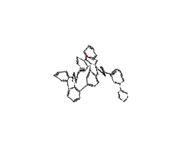 C1=CC(c2cccc(-n3c4ccccc4c4cc(-c5cccc6c7ccccc7n(-c7ccc(-c8ccccc8)cc7)c56)ccc43)c2)=CCC1